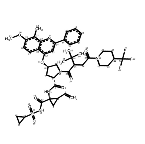 C=CC1C[C@]1(NC(=O)[C@@H]1C[C@@H](Oc2cc(-c3ccccc3)nc3c(C)c(OC)ccc23)CN1C(=O)C(CC(=O)N1CCC(C(F)(F)F)CC1)C(C)(C)C)C(=O)NS(=O)(=O)C1CC1